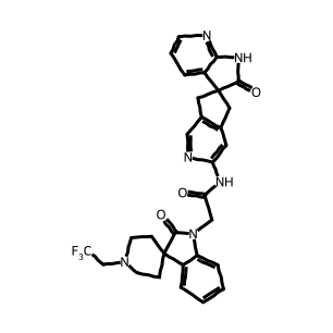 O=C(CN1C(=O)C2(CCN(CC(F)(F)F)CC2)c2ccccc21)Nc1cc2c(cn1)CC1(C2)C(=O)Nc2ncccc21